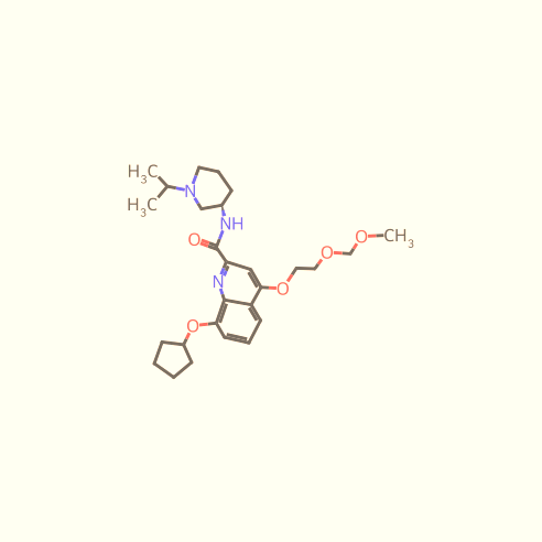 COCOCCOc1cc(C(=O)N[C@@H]2CCCN(C(C)C)C2)nc2c(OC3CCCC3)cccc12